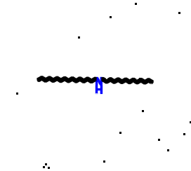 CCCCCCCCCCCCCCCCNCCCCCCCCCCCCCC